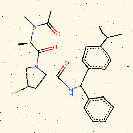 CC(=O)N(C)[C@H](C)C(=O)N1C[C@H](F)C[C@H]1C(=O)N[C@@H](c1ccccc1)c1ccc(C(C)C)cc1